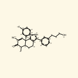 CC1C(=O)C(C#N)=C[C@]2(c3cccc(F)c3)c3n[nH]c(-c4cccc(CCCO)c4)c3CCC12